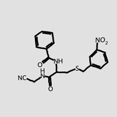 N#CCNC(=O)C(CSCc1cccc([N+](=O)[O-])c1)NC(=O)c1ccccc1